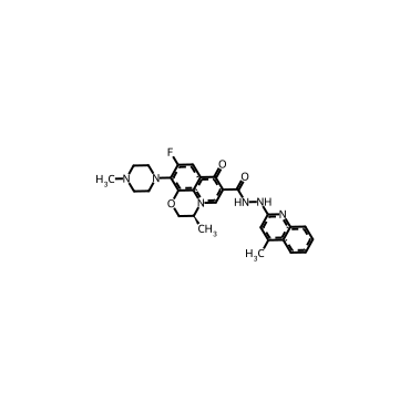 Cc1cc(NNC(=O)c2cn3c4c(c(N5CCN(C)CC5)c(F)cc4c2=O)OC[C@@H]3C)nc2ccccc12